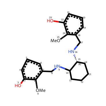 COc1c(O)cccc1CNC1CCCC[C@H]1NCc1cccc(O)c1OC